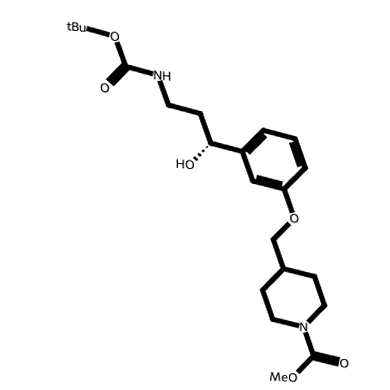 COC(=O)N1CCC(COc2cccc([C@H](O)CCNC(=O)OC(C)(C)C)c2)CC1